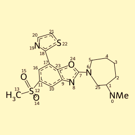 CNC1CCCCN(c2nc3cc(S(C)(=O)=O)cc(-c4nccs4)c3o2)C1